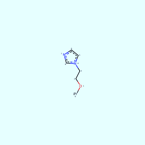 CC(C)OCCn1c[c]nc1